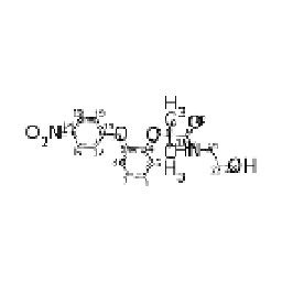 CC(C)(Oc1ccccc1Oc1ccc([N+](=O)[O-])cc1)C(=O)NCCO